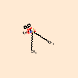 CCCCCCCCCCCCCCCC(=O)[SH](C[C@H](NC(=O)OC)C(=O)OC1c2ccccc2-c2ccccc21)C(=O)CCCCCCCCCCCCCCC